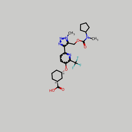 CN(C(=O)OCc1c(-c2ccc(O[C@H]3CCC[C@H](C(=O)O)C3)c(C(F)(F)F)n2)nnn1C)C1CCCC1